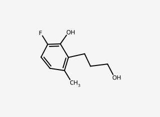 Cc1ccc(F)c(O)c1CCCO